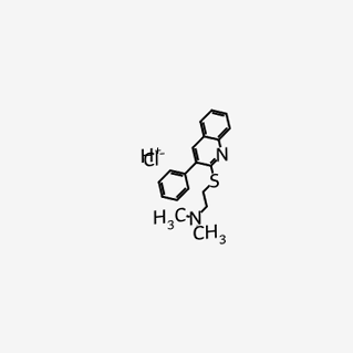 CN(C)CCSc1nc2ccccc2cc1-c1ccccc1.[Cl-].[H+]